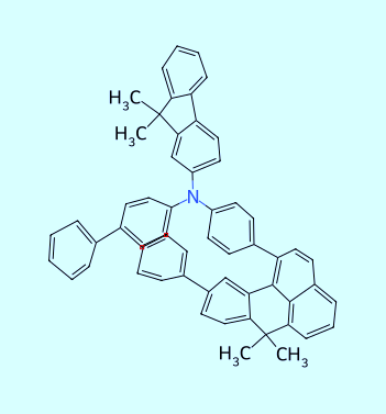 CC1(C)c2ccccc2-c2ccc(N(c3ccc(-c4ccccc4)cc3)c3ccc(-c4ccc5cccc6c5c4-c4cc(-c5ccccc5)ccc4C6(C)C)cc3)cc21